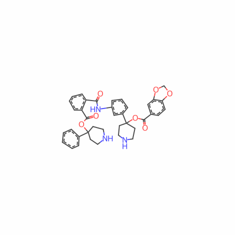 O=C(OC1(c2cccc(NC(=O)c3ccccc3C(=O)OC3(c4ccccc4)CCNCC3)c2)CCNCC1)c1ccc2c(c1)OCO2